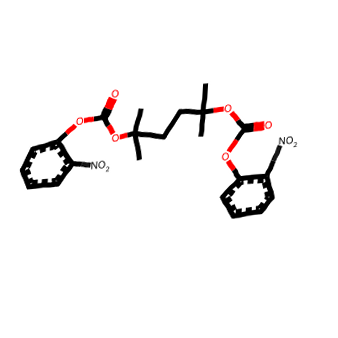 CC(C)(CCC(C)(C)OC(=O)Oc1ccccc1[N+](=O)[O-])OC(=O)Oc1ccccc1[N+](=O)[O-]